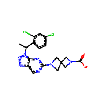 CC(c1ccc(Cl)cc1Cl)n1nnc2cnc(N3CC4(CN(C(=O)O)C4)C3)nc21